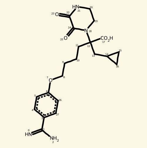 N=C(N)c1ccc(OCCCCC(CC2CC2)(C(=O)O)N2CCNC(=O)C2=O)cc1